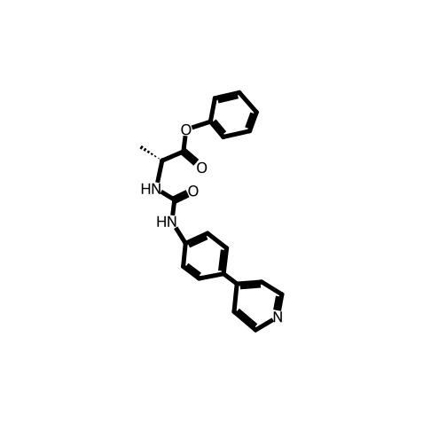 C[C@@H](NC(=O)Nc1ccc(-c2ccncc2)cc1)C(=O)Oc1ccccc1